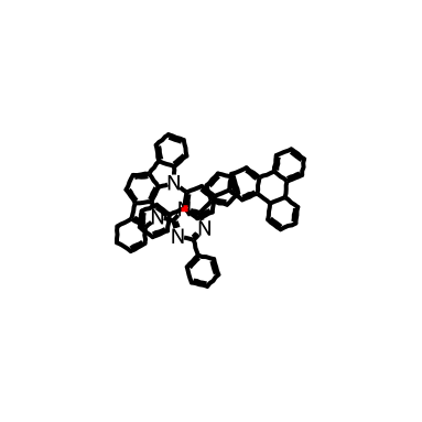 C1=CC2c3ccccc3-c3ccc(-c4ccc(-c5ccccc5)c(-n5c6ccccc6c6ccc7c8c(n(-c9nc(-c%10ccccc%10)nc(-c%10ccccc%10)n9)c7c65)C=CCC8)c4)cc3C2C=C1